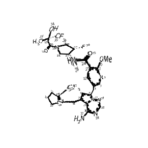 COc1ncc(-c2cc(CN3CCC[C@H]3C(F)(F)F)c3c(N)ncnn23)cc1C(=O)N[C@@H]1CN(C(=O)[C@@](C)(O)C(F)(F)F)C[C@@H]1F